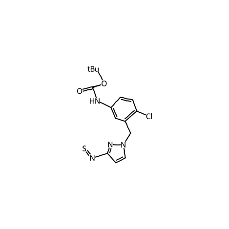 CC(C)(C)OC(=O)Nc1ccc(Cl)c(Cn2ccc(N=S)n2)c1